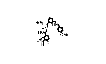 COc1ccc(CNCc2cccc(CCNC[C@H](O)c3ccc(O)c4[nH]c(=O)sc34)c2)cc1.Cl.Cl